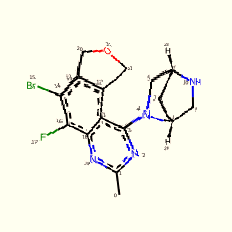 Cc1nc(N2C[C@H]3C[C@@H]2CN3)c2c3c(c(Br)c(F)c2n1)COC3